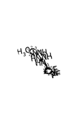 CC1CCN(C(=N)NC(=N)NCc2cccc(C(F)(F)F)c2)CC1